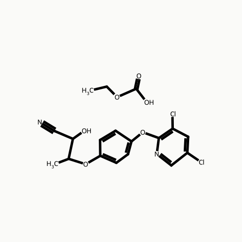 CC(Oc1ccc(Oc2ncc(Cl)cc2Cl)cc1)C(O)C#N.CCOC(=O)O